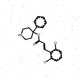 O=C(/C=C/c1c(Cl)cccc1Cl)OC1(c2ccccc2)CCNCC1